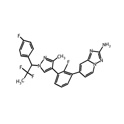 Cc1nn(C(c2ccc(F)cc2)C(C)(F)F)cc1-c1cccc(-c2ccn3nc(N)nc3c2)c1F